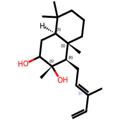 C=C/C(C)=C/C[C@@H]1[C@@]2(C)CCCC(C)(C)[C@@H]2CC(O)[C@@]1(C)O